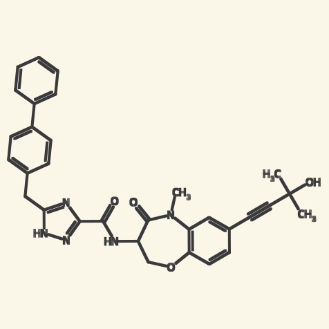 CN1C(=O)C(NC(=O)c2n[nH]c(Cc3ccc(-c4ccccc4)cc3)n2)COc2ccc(C#CC(C)(C)O)cc21